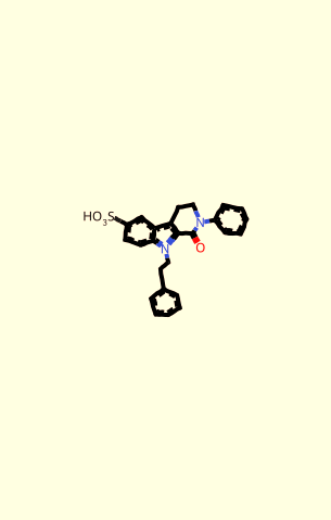 O=C1c2c(c3cc(S(=O)(=O)O)ccc3n2CCc2ccccc2)CCN1c1ccccc1